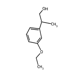 CCOc1cccc([C](C)CO)c1